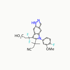 COc1cc(-n2c(C(C)(C)CC#N)c(C(F)(F)CC(=O)O)c3cc4[nH]ncc4cc32)ccc1F